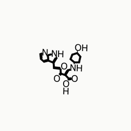 O=C(O)C1=C(N[C@H]2CC[C@@H](O)CC2)OC(=Cc2c[nH]c3ncccc23)C1=O